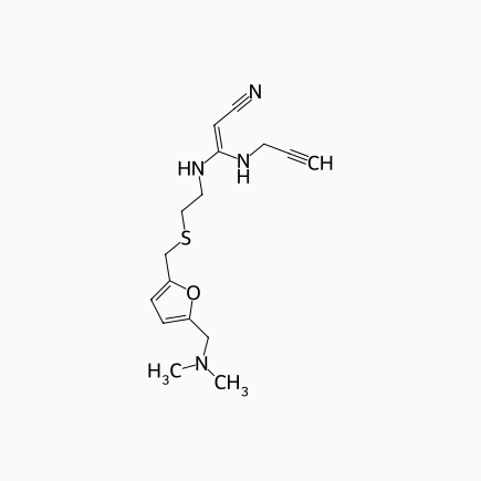 C#CCNC(=CC#N)NCCSCc1ccc(CN(C)C)o1